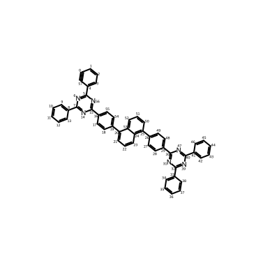 c1cccc(-c2nc(-c3ccccc3)nc(-c3ccc(-c4cccc5c(-c6ccc(-c7nc(-c8ccccc8)nc(-c8ccccc8)n7)cc6)cccc45)cc3)n2)c#1